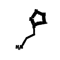 NCCn1[c]nnn1